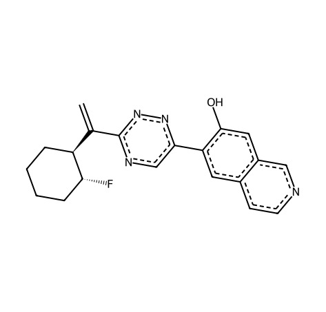 C=C(c1ncc(-c2cc3ccncc3cc2O)nn1)[C@@H]1CCCC[C@H]1F